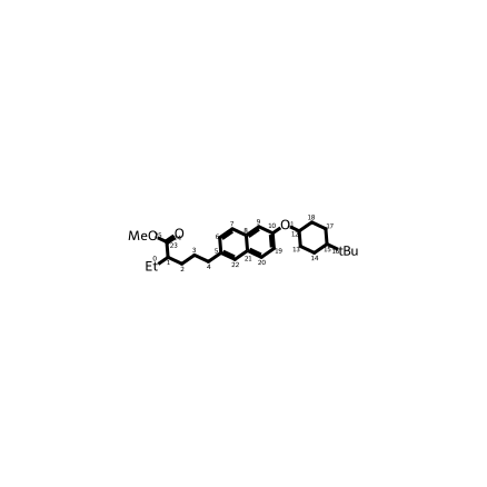 CCC(CCCc1ccc2cc(OC3CCC(C(C)(C)C)CC3)ccc2c1)C(=O)OC